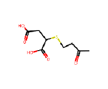 CC(=O)CCSC(CC(=O)O)C(=O)O